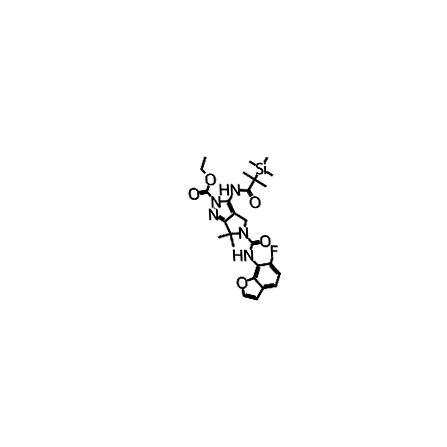 CCOC(=O)n1nc2c(c1NC(=O)C(C)(C)[Si](C)(C)C)CN(C(=O)Nc1c(F)ccc3ccoc13)C2(C)C